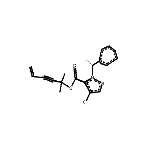 C=CC#CC(C)(C)OC(=O)c1c(Cl)cnn1[C@H](C)c1ccccc1